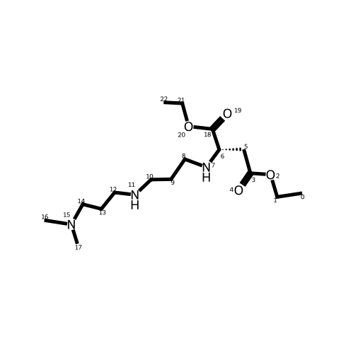 CCOC(=O)C[C@H](NCCCNCCCN(C)C)C(=O)OCC